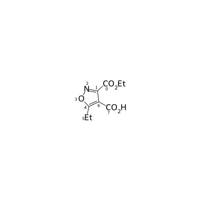 CCOC(=O)c1noc(CC)c1C(=O)O